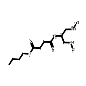 CCCCOC(=O)CCC(=O)NC(CNCl)CNCl